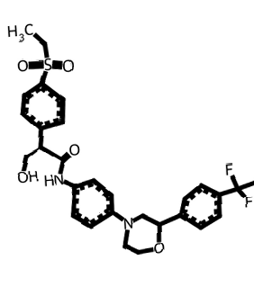 CCS(=O)(=O)c1ccc([C@H](CO)C(=O)Nc2ccc(N3CCOC(c4ccc(C(F)(F)F)cc4)C3)cc2)cc1